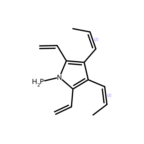 C=Cc1c(/C=C\C)c(/C=C\C)c(C=C)n1P